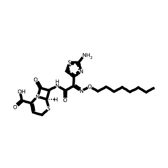 CCCCCCCCO/N=C(/C(=O)NC1C(=O)N2C(C(=O)O)=CCS[C@H]12)c1csc(N)n1